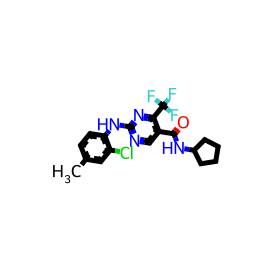 Cc1ccc(Nc2ncc(C(=O)NC3CCCC3)c(C(F)(F)F)n2)c(Cl)c1